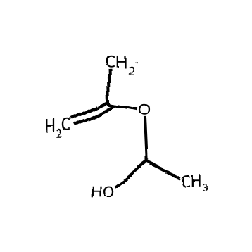 [CH2]C(=C)OC(C)O